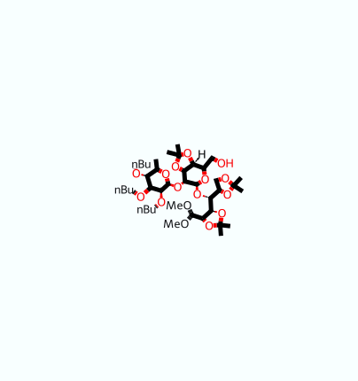 CCCCOC1[C@H](OCCCC)C(C)O[C@@H](O[C@H]2C3OC(C)(C)O[C@H]3C(CO)O[C@H]2O[C@H](C2COC(C)(C)O2)[C@@H]2OC(C)(C)OC2C(OC)OC)[C@H]1OCCCC